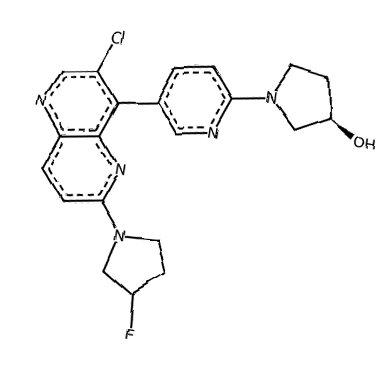 O[C@@H]1CCN(c2ccc(-c3c(Cl)cnc4ccc(N5CCC(F)C5)nc34)cn2)C1